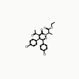 CCOC(=O)C(C)n1nc(-c2ccc(Cl)cc2)c(-c2ccc(Cl)cc2)c(C(C)=O)c1=O